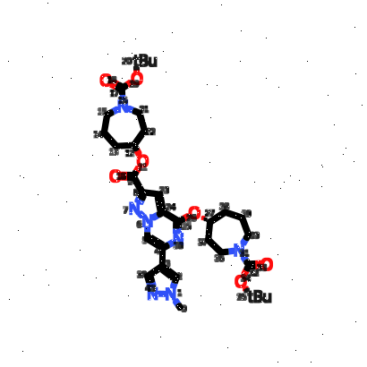 Cn1cc(-c2cn3nc(C(=O)OC4CCCN(C(=O)OC(C)(C)C)CC4)cc3c(O[C@@H]3CCCN(C(=O)OC(C)(C)C)CC3)n2)cn1